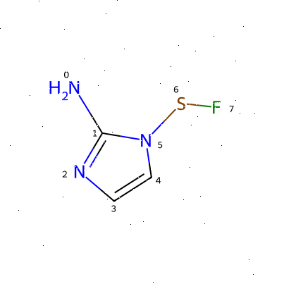 Nc1nccn1SF